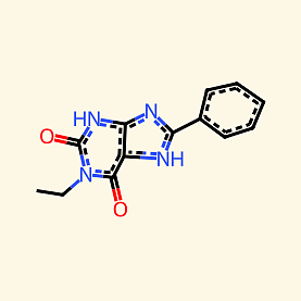 CCn1c(=O)[nH]c2nc(-c3ccccc3)[nH]c2c1=O